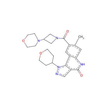 Cc1cc2[nH]c(=O)c3cnn(C4CCOCC4)c3c2cc1C(=O)N1CC(N2CCOCC2)C1